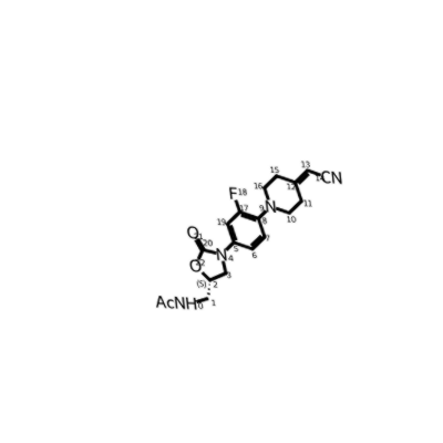 CC(=O)NC[C@H]1CN(c2ccc(N3CCC(=CC#N)CC3)c(F)c2)C(=O)O1